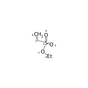 [CH2]COS(=O)(=O)C=C